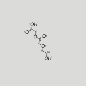 O=C(O)COC(=O)COCCO